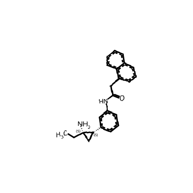 CC[C@]1(N)C[C@H]1c1cccc(NC(=O)Cc2cccc3ccccc23)c1